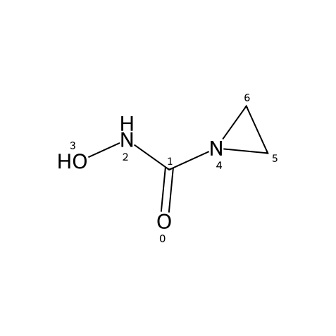 O=C(NO)N1CC1